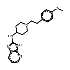 COc1ccc(CCN2CCC(Nc3nc4cccnc4[nH]3)CC2)cc1